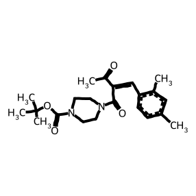 CC(=O)C(=Cc1ccc(C)cc1C)C(=O)N1CCN(C(=O)OC(C)(C)C)CC1